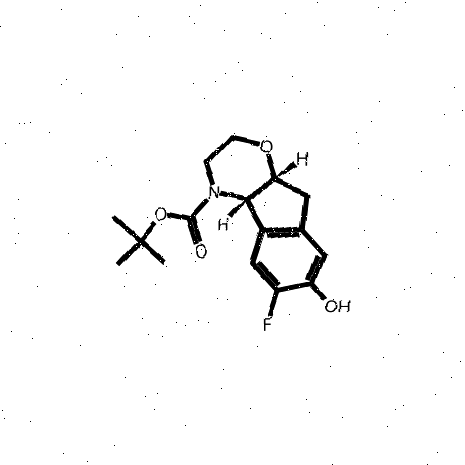 CC(C)(C)OC(=O)N1CCO[C@@H]2Cc3cc(O)c(F)cc3[C@@H]21